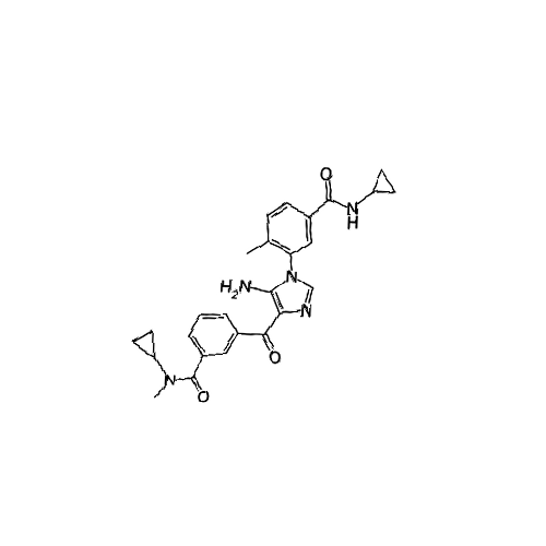 Cc1ccc(C(=O)NC2CC2)cc1-n1cnc(C(=O)c2cccc(C(=O)N(C)C3CC3)c2)c1N